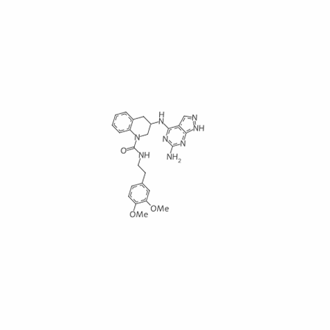 COc1ccc(CCNC(=O)N2CC(Nc3nc(N)nc4[nH]ncc34)Cc3ccccc32)cc1OC